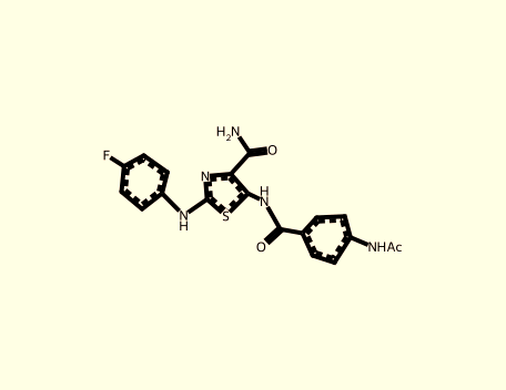 CC(=O)Nc1ccc(C(=O)Nc2sc(Nc3ccc(F)cc3)nc2C(N)=O)cc1